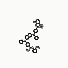 C=C(OC1=C(C)C=CCN1)c1ccc(N(c2ccccc2)c2ccc3ccc(N(c4ccccc4)c4ccc(C(=C)Oc5ncccc5C)cc4)cc3c2)cc1